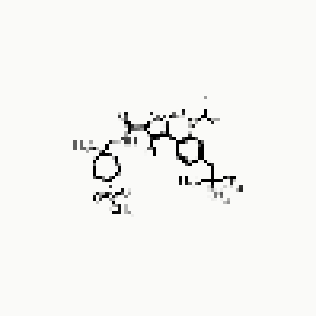 CCn1nc(C(=O)NC[C@]2(C)CC[C@@H](S(C)(=O)=O)CC2)c(Cl)c1-c1ccc(CC(C)(C)C(F)(F)F)cc1OC(F)F